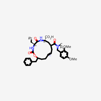 COc1ccc(CN(C)C(=O)C2C/C=C/CCC(Cc3ccccc3)OC(=O)N[C@@H](CC(C)C)C(=O)N[C@H](C(=O)O)C2)c(OC)c1